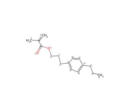 C=C(C)C(=O)OCCCc1ccc(CCC)cc1